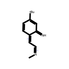 C/N=C\C=C1\C=CC(C(C)(C)C)=CC1=N